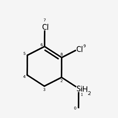 C[SiH2]C1CCCC(Cl)=C1Cl